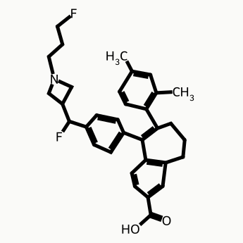 Cc1ccc(C2=C(c3ccc(C(F)C4CN(CCCF)C4)cc3)c3ccc(C(=O)O)cc3CCC2)c(C)c1